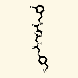 CCc1ccc(OCC(=O)NCc2nc(C(=O)NCCc3cccc(Cl)c3)cs2)cc1